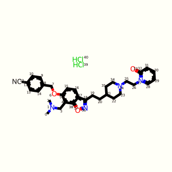 CN(C)Cc1c(OCc2ccc(C#N)cc2)ccc2c(CCC3CCN(CCn4ccccc4=O)CC3)noc12.Cl.Cl